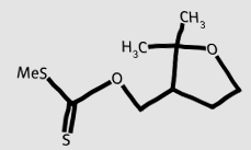 C[SH2]C(=S)OCC1CCOC1(C)C